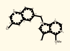 COc1ncnc2c1c(C)cn2Cc1ccc2ncc(Cl)cc2c1